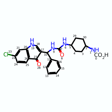 O=C(O)NC1CCC(NC(=O)NC(c2ccccc2)c2c[nH]c3cc(Cl)ccc3c2=O)CC1